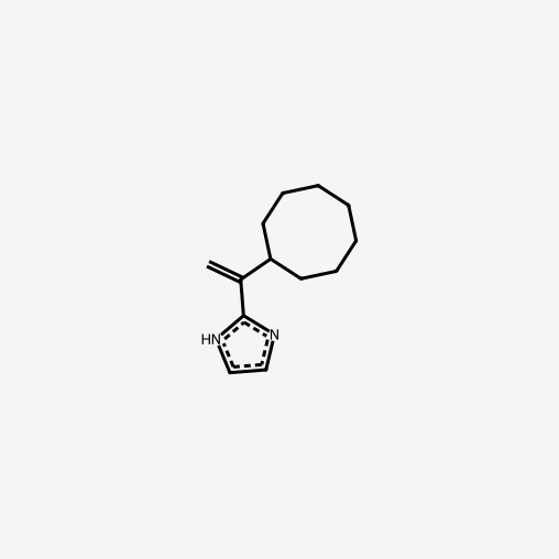 C=C(c1ncc[nH]1)C1CCCCCCC1